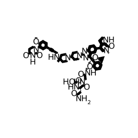 COc1ccc(C#CCNC2(C)CCN(C3CCN(c4nc([C@@](COCNC(=O)CNC(=O)[C@H](CC(N)=O)NC(=O)O)(OC5CC5)c5ccccc5)c5cc(-c6cn(C)c(=O)c7[nH]ccc67)ccc5n4)CC3)CC2)cc1N1CCC(=O)NC1=O